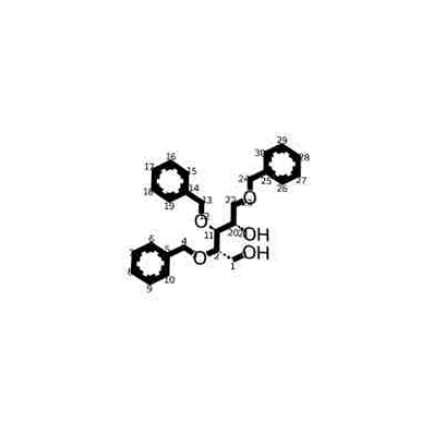 OC[C@H](OCc1ccccc1)[C@H](OCc1ccccc1)[C@@H](O)COCc1ccccc1